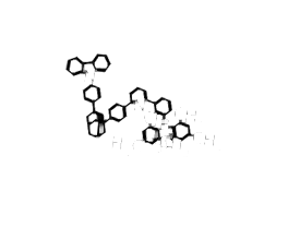 Cc1cc(C)c(B(c2cccc(-c3cccc(-c4ccc(C56CC7CC(C5)CC(c5ccc(-n8c9ccccc9c9ccccc98)cc5)(C7)C6)cc4)n3)c2)c2c(C)cc(C)cc2C)c(C)c1